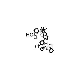 CC1=NN(c2cccc(C(=O)O)c2)C(=O)C1=Cc1ccc(-c2ccc(Cl)c(C(=O)NCc3ccccc3Cl)c2)o1